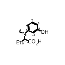 CCC(C(=O)O)N(C)c1cccc(O)c1